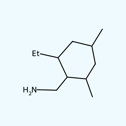 CCC1CC(C)CC(C)C1CN